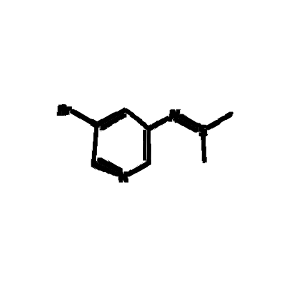 CS(C)=Nc1cncc(Br)c1